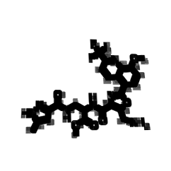 COC(=O)C(CNC(=O)c1cc(C)[nH]n1)NC(=O)c1nc(-c2ccc(OC)c3nc(C(F)(F)F)ccc23)oc1CN